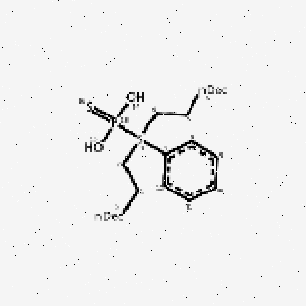 CCCCCCCCCCCCS(CCCCCCCCCCCC)(c1ccccc1)P(O)(O)=S